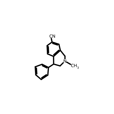 CN1Cc2cc(C#N)ccc2C(c2ccccc2)C1